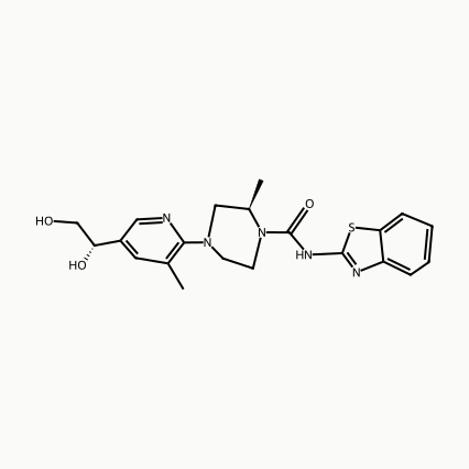 Cc1cc([C@H](O)CO)cnc1N1CCN(C(=O)Nc2nc3ccccc3s2)[C@H](C)C1